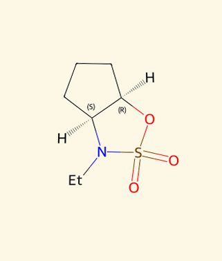 CCN1[C@H]2CCC[C@H]2OS1(=O)=O